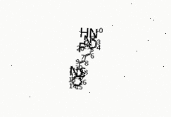 CNc1ccc(C=CC=Cc2nc3ccccc3s2)c(F)n1